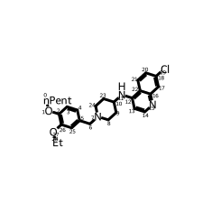 CCCCCOc1ccc(CN2CCC(Nc3ccnc4cc(Cl)ccc34)CC2)cc1OCC